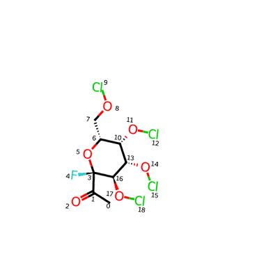 CC(=O)[C@]1(F)O[C@H](COCl)[C@H](OCl)[C@H](OCl)[C@H]1OCl